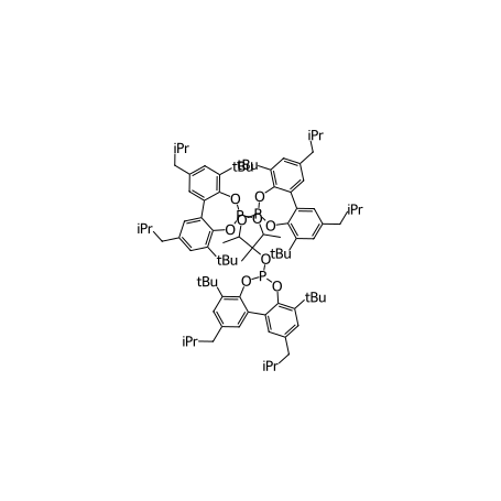 CC(C)Cc1cc(C(C)(C)C)c2op(OC(C)C(C)(Op3oc4c(C(C)(C)C)cc(CC(C)C)cc4c4cc(CC(C)C)cc(C(C)(C)C)c4o3)C(C)Op3oc4c(C(C)(C)C)cc(CC(C)C)cc4c4cc(CC(C)C)cc(C(C)(C)C)c4o3)oc3c(C(C)(C)C)cc(CC(C)C)cc3c2c1